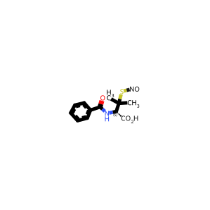 CC(C)(SN=O)[C@@H](NC(=O)c1ccccc1)C(=O)O